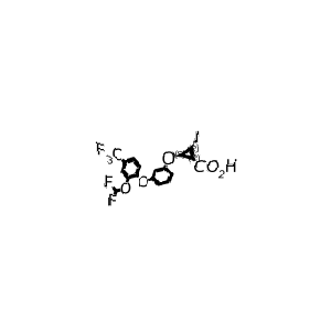 O=C(O)[C@@H]1[C@@H](I)[C@H]1OC1=CC(Oc2ccc(C(F)(F)F)cc2OC(F)F)=CCC1